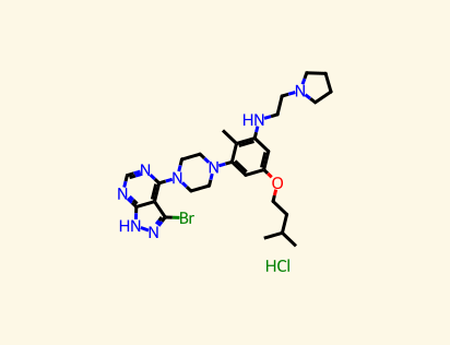 Cc1c(NCCN2CCCC2)cc(OCCC(C)C)cc1N1CCN(c2ncnc3[nH]nc(Br)c23)CC1.Cl